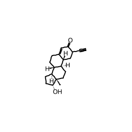 C#CC1C[C@H]2C(=CC1=O)CC[C@@H]1[C@@H]2CC[C@]2(C)[C@H](O)CC[C@@H]12